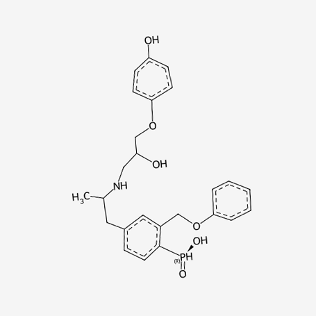 CC(Cc1ccc([P@H](=O)O)c(COc2ccccc2)c1)NCC(O)COc1ccc(O)cc1